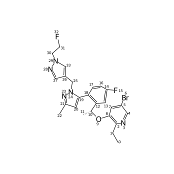 CCc1ncc(Br)cc1O[C@H](C)c1cc(F)ccc1-c1cc(C)nn1Cc1cnn(CCF)c1